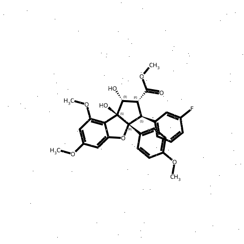 COC(=O)[C@H]1[C@@H](O)[C@@]2(O)c3c(OC)cc(OC)cc3O[C@@]2(c2ccc(OC)cc2)[C@@H]1c1cccc(F)c1